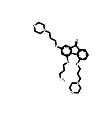 CCCCOc1cc(OCCCN2CCOCC2)cc2c1-c1c(OCCCN3CCOCC3)cccc1C2=O